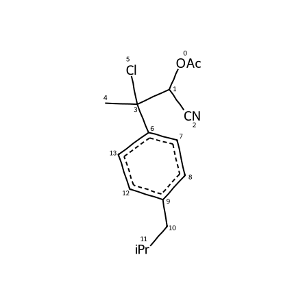 CC(=O)OC(C#N)C(C)(Cl)c1ccc(CC(C)C)cc1